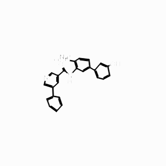 O=C(Nc1cc(-c2cccc(O)c2)ccc1C(=O)[O-])c1cncc(-c2ccccc2)c1.[Na+]